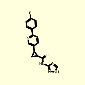 O=C(Nc1nc[nH]n1)C1CC1c1ccc(-c2ccc(F)cc2)nc1